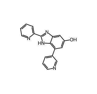 Oc1cc(-c2cccnc2)c2[nH]c(-c3ccccn3)nc2c1